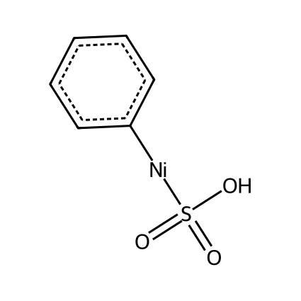 O=[S](=O)(O)[Ni][c]1ccccc1